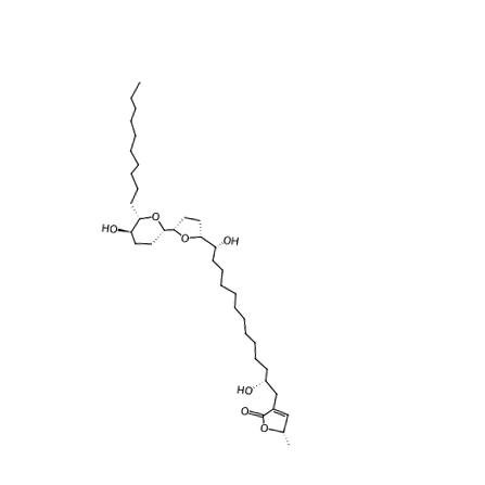 CCCCCCCCCC[C@@H]1O[C@H]([C@@H]2CC[C@H]([C@H](O)CCCCCCCCCC[C@@H](O)CC3=C[C@H](C)OC3=O)O2)CC[C@H]1O